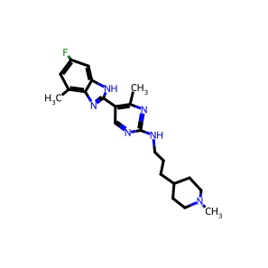 Cc1nc(NCCCC2CCN(C)CC2)ncc1-c1nc2c(C)cc(F)cc2[nH]1